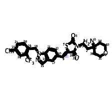 NC1(CCN2C(=O)S/C(=C\c3ccc4c(cnn4Cc4ccc(Cl)cc4C(F)(F)F)c3)C2=O)CCOCC1